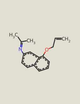 C=CCOc1cccc2ccc(N=C(C)C)cc12